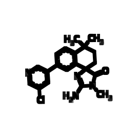 CN1C(=O)C2(CCC(C)(C)c3ccc(-c4cncc(Cl)c4)cc32)N=C1N